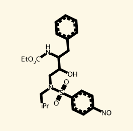 CCOC(=O)NC(Cc1ccccc1)C(O)CN(CC(C)C)S(=O)(=O)c1ccc(N=O)cc1